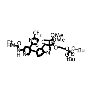 CCNC(=O)Nc1cc(-c2nc(C(F)(F)F)cs2)c(-c2ccc3c(c2)C(=O)C(C(=O)OCCOP(=O)(OC(C)(C)C)OC(C)(C)C)(C(C)C(OC)OC)C=N3)cn1